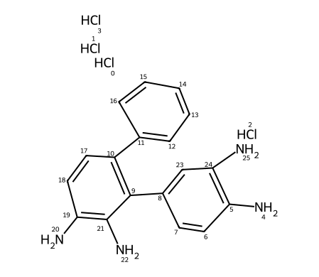 Cl.Cl.Cl.Cl.Nc1ccc(-c2c(-c3ccccc3)ccc(N)c2N)cc1N